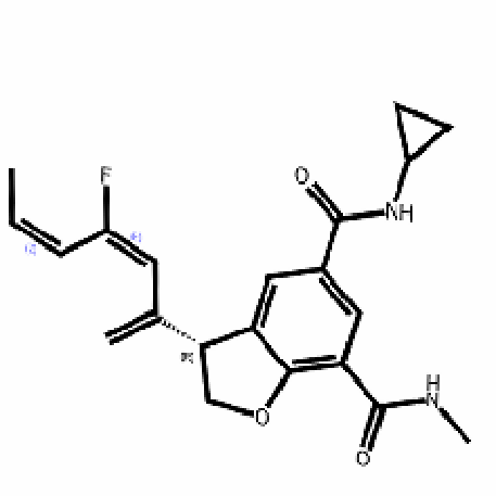 C=C(/C=C(F)\C=C/C)[C@H]1COc2c(C(=O)NC)cc(C(=O)NC3CC3)cc21